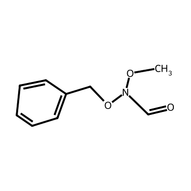 CON(C=O)OCc1ccccc1